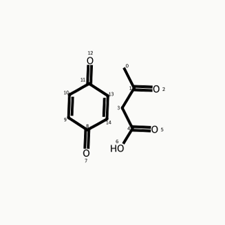 CC(=O)CC(=O)O.O=C1C=CC(=O)C=C1